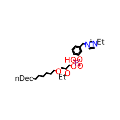 CCCCCCCCCCCCCCCCOCC(COP(=O)(O)Oc1cccc(CN2[CH]N(CC)C=C2)c1)OCC